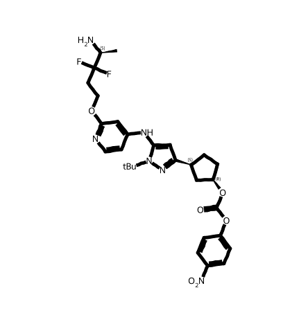 C[C@H](N)C(F)(F)CCOc1cc(Nc2cc([C@H]3CC[C@@H](OC(=O)Oc4ccc([N+](=O)[O-])cc4)C3)nn2C(C)(C)C)ccn1